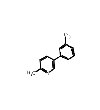 Cc1ccc(-c2cccc(C(F)(F)F)c2)cn1